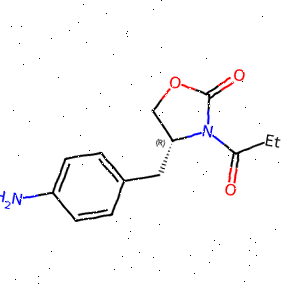 CCC(=O)N1C(=O)OC[C@H]1Cc1ccc(N)cc1